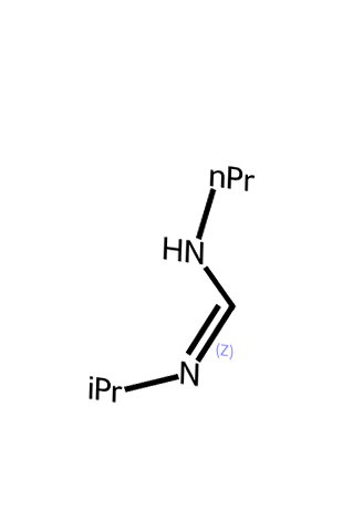 CCCN/C=N\C(C)C